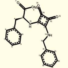 COC(=O)[C@H](Cc1ccccc1)Nc1c(NCc2ccccc2)c(=O)c1=O